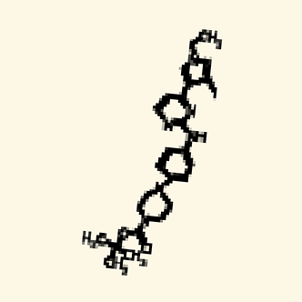 CCn1cc(-c2ccnc(Nc3ccc(N4CCN(C(=O)OC(C)(C)C)CC4)cc3)n2)c(I)n1